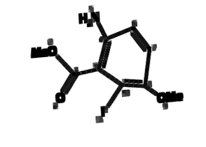 COC(=O)c1c(N)ccc(OC)c1F